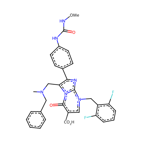 CONC(=O)Nc1ccc(-c2nc3n(Cc4c(F)cccc4F)cc(C(=O)O)c(=O)n3c2CN(C)Cc2ccccc2)cc1